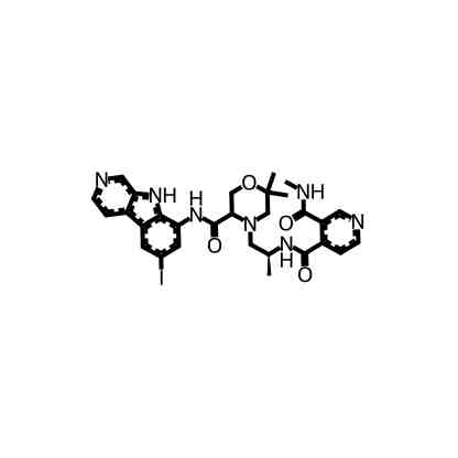 CNC(=O)c1cnccc1C(=O)N[C@@H](C)CN1CC(C)(C)OCC1C(=O)Nc1cc(I)cc2c1[nH]c1cnccc12